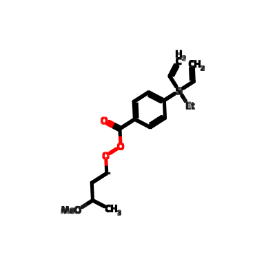 C=C[Si](C=C)(CC)c1ccc(C(=O)OO[CH]CC(C)OC)cc1